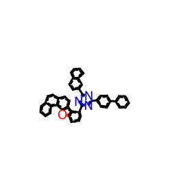 c1ccc(-c2ccc(-c3nc(-c4ccc5ccccc5c4)nc(-c4cccc5oc6c(ccc7ccc8ccccc8c76)c45)n3)cc2)cc1